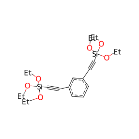 CCO[Si](C#Cc1cccc(C#C[Si](OCC)(OCC)OCC)c1)(OCC)OCC